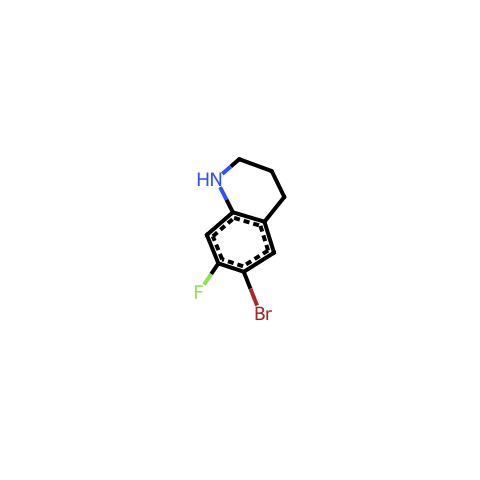 Fc1cc2c(cc1Br)CCCN2